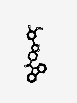 COc1cc(C2=NOC3(CCN(C(=O)C4c5ccccc5-c5ccccc54)CC3)C2)ccc1Cl